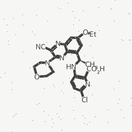 CCOc1cc([C@@H](C)Nc2ccc(Cl)nc2C(=O)O)c2nc(N3CCOCC3)c(C#N)nc2c1